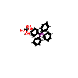 O[Si](O)(O)O.c1ccc([PH](c2ccccc2)(c2ccccc2)c2ccccc2)cc1